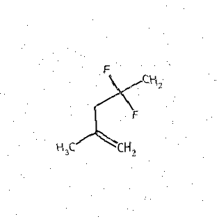 [CH2]C(F)(F)CC(=C)C